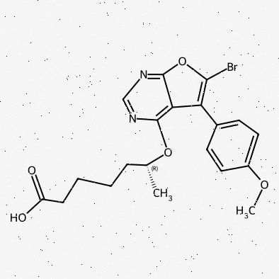 COc1ccc(-c2c(Br)oc3ncnc(O[C@H](C)CCCCC(=O)O)c23)cc1